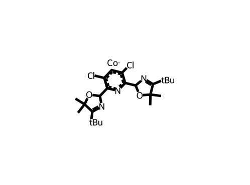 CC(C)(C)C1=NC(c2nc(C3N=C(C(C)(C)C)C(C)(C)O3)c(Cl)cc2Cl)OC1(C)C.[Co]